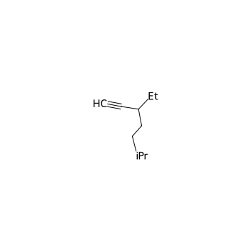 C#CC(CC)CCC(C)C